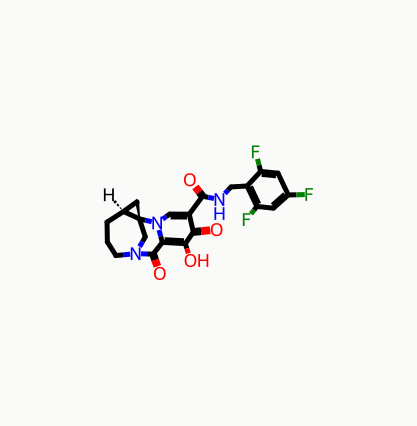 O=C(NCc1c(F)cc(F)cc1F)c1cn2c(c(O)c1=O)C(=O)N1CCC[C@H]3C[C@@]32C1